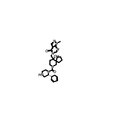 Cn1ncc2c(=O)n(CC3(O)CCN(C(=O)N4CCNC[C@H]4C4C=CC=CC4)CC34CCCC4)cnc21